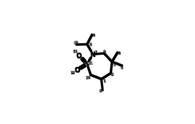 CC1CC(C)(C)CN(C(C)C)S(=O)(=O)C1